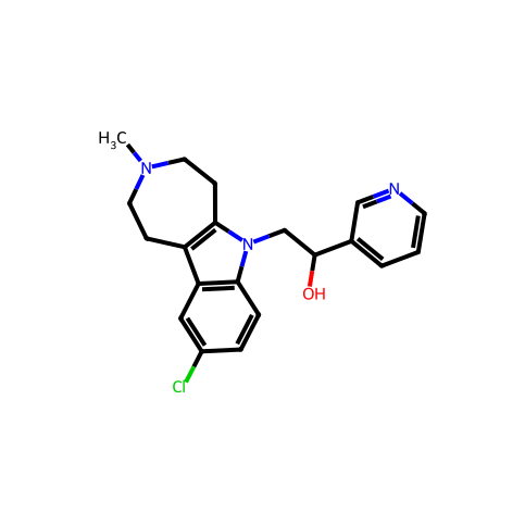 CN1CCc2c(n(CC(O)c3cccnc3)c3ccc(Cl)cc23)CC1